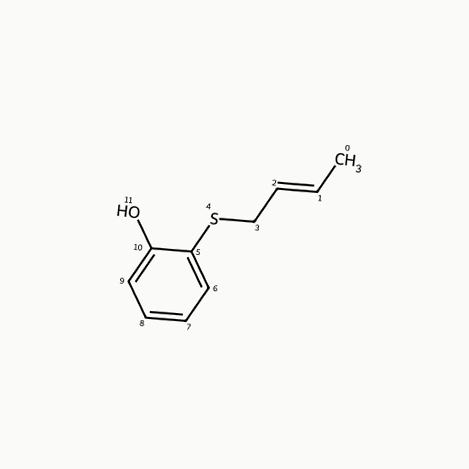 CC=CCSc1ccccc1O